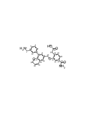 NCc1cccc(-c2cc(COc3cc(C(N)=O)ccc3CC(=O)O)cc3c2OCC=C3)c1